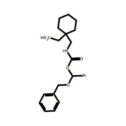 CC(C)C(OCc1ccccc1)OC(=O)NCC1(CC(=O)O)CCCCC1